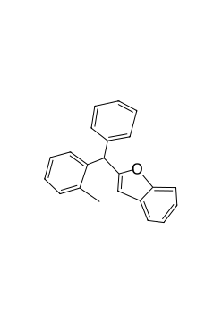 Cc1ccccc1C(c1ccccc1)c1cc2ccccc2o1